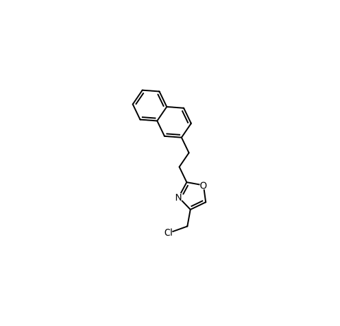 ClCc1coc(CCc2ccc3ccccc3c2)n1